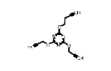 C#CCCOc1nc(OCC#C)nc(OCC#C)n1